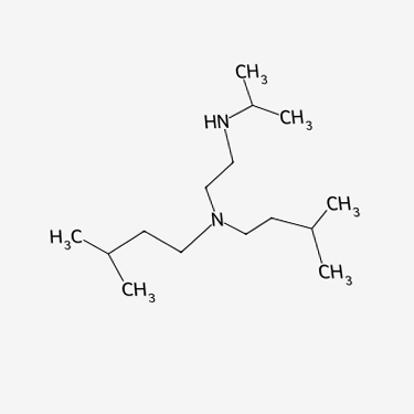 CC(C)CCN(CCNC(C)C)CCC(C)C